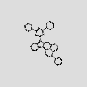 C1=CCCC(c2nc(-c3ccccc3)nc(-n3c4ccccc4c4c5c6c(cccc6cc43)N(c3ccccc3)C=C5)n2)=C1